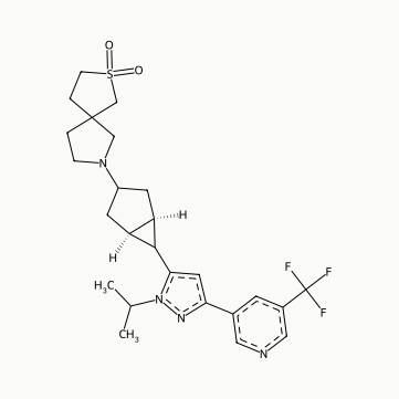 CC(C)n1nc(-c2cncc(C(F)(F)F)c2)cc1C1[C@H]2CC(N3CCC4(CCS(=O)(=O)C4)C3)C[C@@H]12